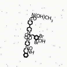 CN(O)C(=O)CN1CCC(C2CCN(C(=O)[C@@H](Cc3cc(Br)c(O)c(Br)c3)OC(=O)N3CCC(N4CCc5ccccc5NC4=O)CC3)CC2)CC1